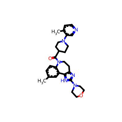 Cc1ccc2c(c1)-c1[nH]c(N3CCOCC3)nc1CCN2C(=O)C1CCN(c2cnccc2C)CC1